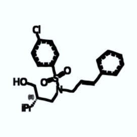 CC(C)[C@H](CO)CN(CC=Cc1ccccc1)S(=O)(=O)c1ccc(Cl)cc1